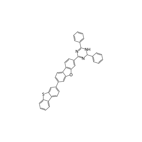 c1ccc(C2=NC(c3ccc4c(c3)oc3cc(-c5ccc6c(c5)sc5ccccc56)ccc34)=NC(c3ccccc3)N2)cc1